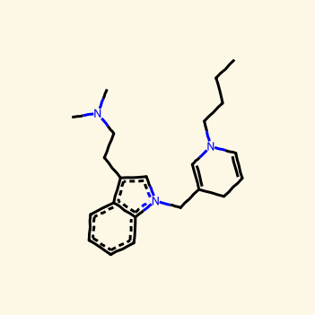 CCCCN1C=CCC(Cn2cc(CCN(C)C)c3ccccc32)=C1